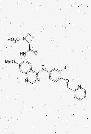 COc1cc2ncnc(Nc3ccc(OCc4ccccn4)c(Cl)c3)c2cc1NC(=O)[C@@H]1CCN1C(=O)O